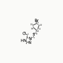 O=CC1NC=NN1CSCc1ccc(Br)cc1